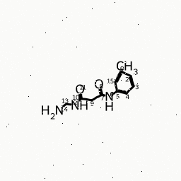 Cc1cccc(NC(=O)CC(=O)NCN)c1